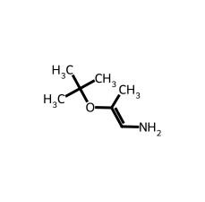 C/C(=C\N)OC(C)(C)C